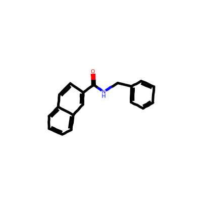 O=C(NCc1cc[c]cc1)c1ccc2ccccc2c1